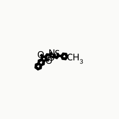 Cc1ccc(-c2cc3oc(C=C4C(=O)c5cc6ccccc6cc5C4=O)nc3s2)cc1